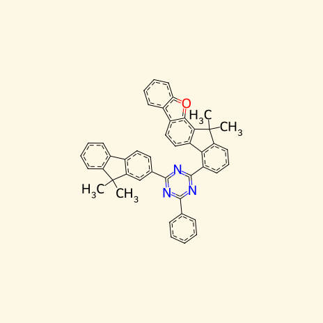 CC1(C)c2ccccc2-c2ccc(-c3nc(-c4ccccc4)nc(-c4cccc5c4-c4ccc6c(oc7ccccc76)c4C5(C)C)n3)cc21